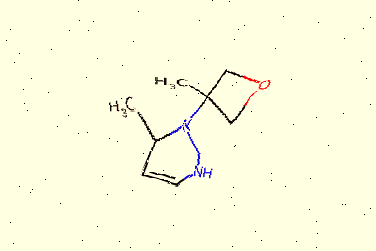 CC1C=CNN1C1(C)COC1